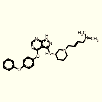 CN(C)CC=CCN1CCC[C@@H](Nc2n[nH]c3ncnc(Oc4ccc(Oc5ccccc5)cc4)c23)C1